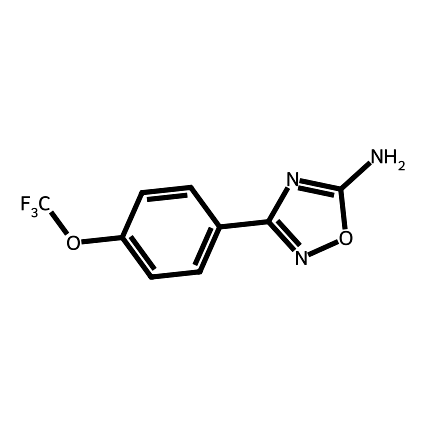 Nc1nc(-c2ccc(OC(F)(F)F)cc2)no1